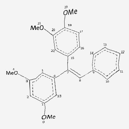 COc1cc(OC)cc(C(=Cc2ccccc2)c2ccc(OC)c(OC)c2)c1